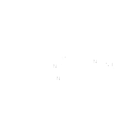 Cc1ccc(Cn2cnc3ccc(-c4ccc(N)nc4)cc3c2=O)cc1